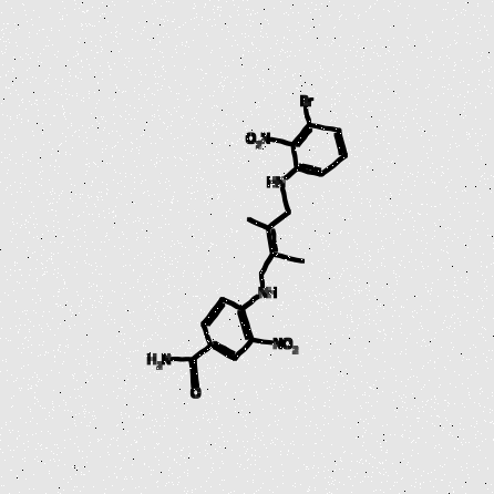 C/C(CNc1ccc(C(N)=O)cc1[N+](=O)[O-])=C(/C)CNc1cccc(Br)c1[N+](=O)[O-]